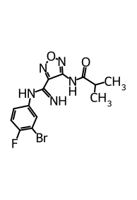 CC(C)C(=O)Nc1nonc1C(=N)Nc1ccc(F)c(Br)c1